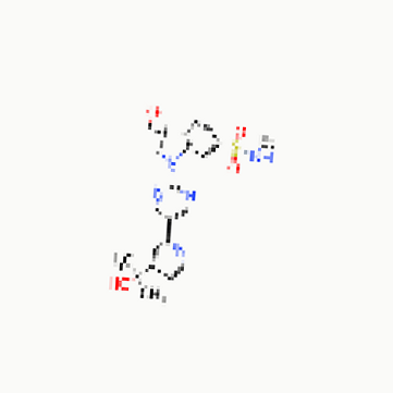 CCNS(=O)(=O)c1ccc2c(c1)N(c1ncc(-c3cc(C(C)(C)O)ccn3)cn1)CC21COC1